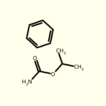 CC(C)OC(N)=O.c1ccccc1